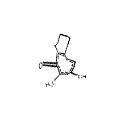 Cc1c(O)cc2n(c1=O)CCC2